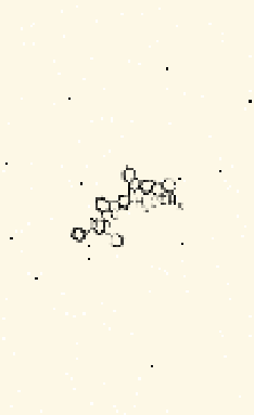 CC1(C)c2ccccc2-c2cc3c4ccccc4n(-c4ccc5oc6c(-c7nc(-c8ccccc8)cc(-c8ccccc8)n7)cccc6c5c4)c3cc21